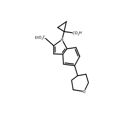 CCOC(=O)c1cc2cc(C3CCOCC3)ccc2n1C1(C(=O)O)CC1